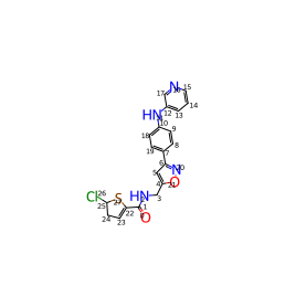 O=C(NCc1cc(-c2ccc(Nc3cccnc3)cc2)no1)C1=CCC(Cl)S1